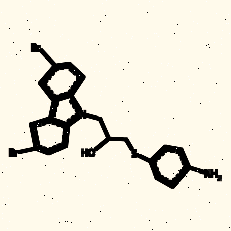 Nc1ccc(SCC(O)Cn2c3ccc(Br)cc3c3cc(Br)ccc32)cc1